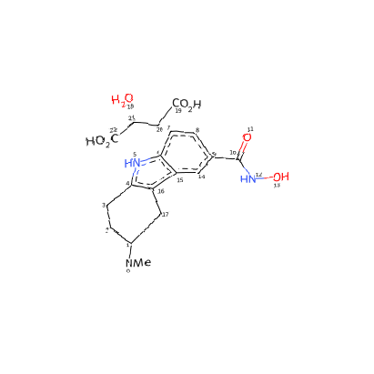 CNC1CCc2[nH]c3ccc(C(=O)NO)cc3c2C1.O.O=C(O)CCC(=O)O